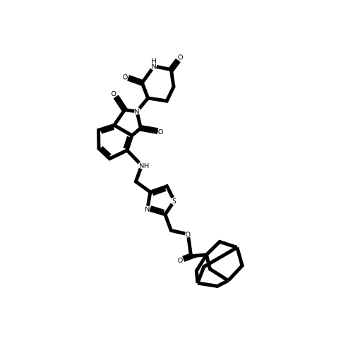 O=C1CCC(N2C(=O)c3cccc(NCc4csc(COC(=O)C56CC7CC(CC(C7)C5)C6)n4)c3C2=O)C(=O)N1